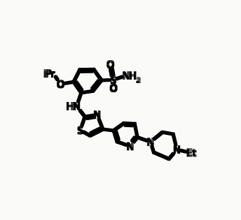 CCN1CCN(c2ccc(-c3csc(Nc4cc(S(N)(=O)=O)ccc4OC(C)C)n3)cn2)CC1